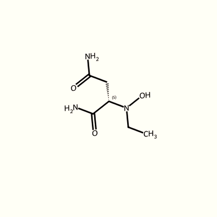 CCN(O)[C@@H](CC(N)=O)C(N)=O